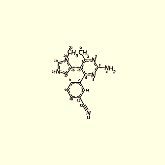 Cc1nc(N)nc(-c2cccc(C#N)c2)c1-c1cncn1C